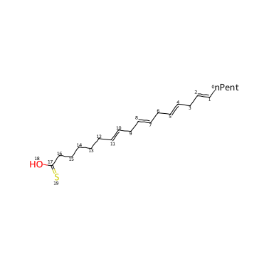 CCCCCC=CCC=CCC=CCC=CCCCCCC(O)=S